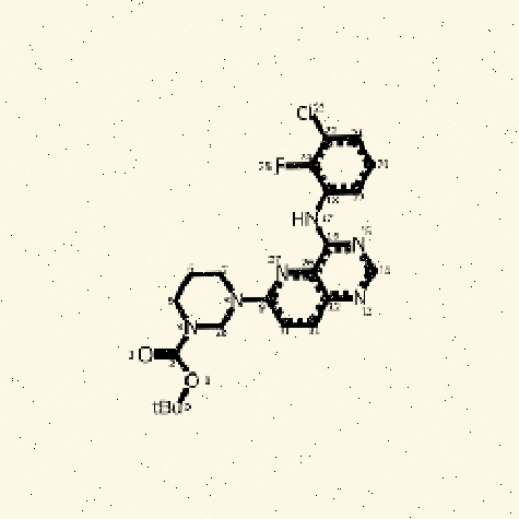 CC(C)(C)OC(=O)N1CCCN(c2ccc3ncnc(Nc4cccc(Cl)c4F)c3n2)C1